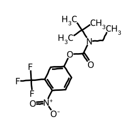 CCN(C(=O)Oc1ccc([N+](=O)[O-])c(C(F)(F)F)c1)C(C)(C)C